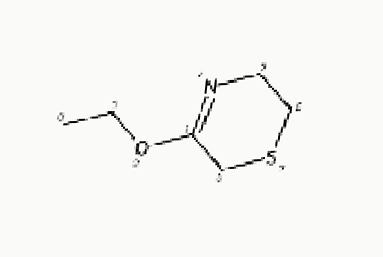 CCOC1=NCCSC1